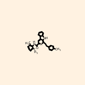 Cc1ccc(CCc2nc(C(=O)Nc3c(C)cccc3C)cc3c2[nH]c2ccccc23)cc1